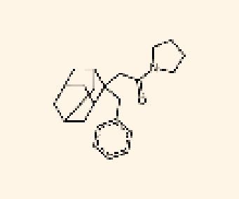 O=C(CC1(Cc2ccccc2)C2CC3CC(C2)CC1C3)N1CCCC1